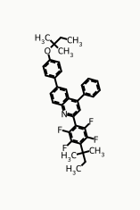 CCC(C)(C)Oc1ccc(-c2ccc3nc(-c4c(F)c(F)c(C(C)(C)CC)c(F)c4F)cc(-c4ccccc4)c3c2)cc1